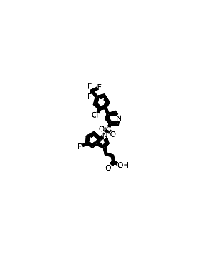 O=C(O)CCc1cn(S(=O)(=O)c2cncc(-c3ccc(C(F)(F)F)cc3Cl)c2)c2ccc(F)cc12